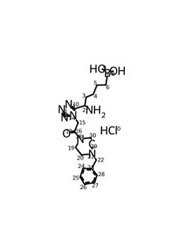 Cl.NC(CCCCB(O)O)c1nnnn1CC(=O)N1CCN(Cc2ccccc2)CC1